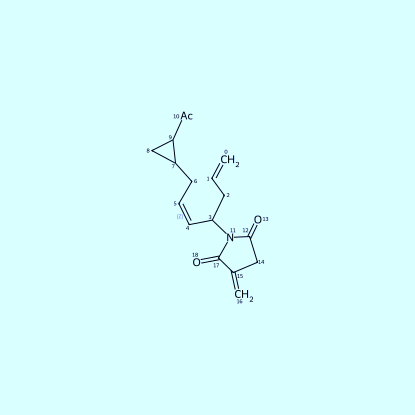 C=CCC(/C=C\CC1CC1C(C)=O)N1C(=O)CC(=C)C1=O